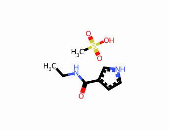 CCNC(=O)c1cc[nH]c1.CS(=O)(=O)O